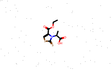 CCOC(=O)c1csc(=S)n1C(C)C(=O)O